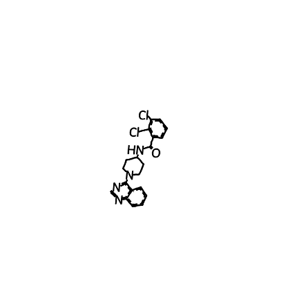 O=C(NC1CCN(c2ncnc3ccccc23)CC1)c1cccc(Cl)c1Cl